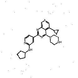 c1cc(-c2nc(N3CCNCC3)c3c(C4CC4)cncc3n2)cc(NC2CCCC2)n1